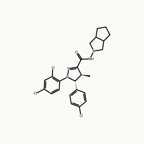 C[C@@H]1C(C(=O)NN2CC3CCCC3C2)=NN(c2ccc(Cl)cc2Cl)[C@H]1c1ccc(Cl)cc1